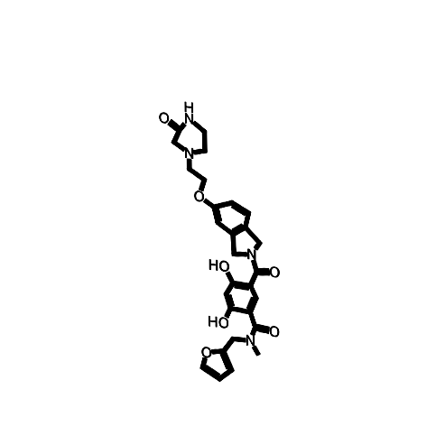 CN(Cc1ccco1)C(=O)c1cc(C(=O)N2Cc3ccc(OCCN4CCNC(=O)C4)cc3C2)c(O)cc1O